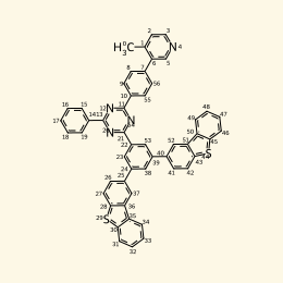 Cc1ccncc1-c1ccc(-c2nc(-c3ccccc3)nc(-c3cc(-c4ccc5sc6ccccc6c5c4)cc(-c4ccc5sc6ccccc6c5c4)c3)n2)cc1